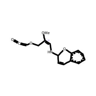 CO/C(=C/NC1C=Cc2ccccc2O1)COC=C=O